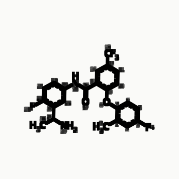 Cc1cc(F)ccc1Oc1ccc(C(F)(F)F)cc1C(=O)Nc1ccc(F)c(C(C)N)c1